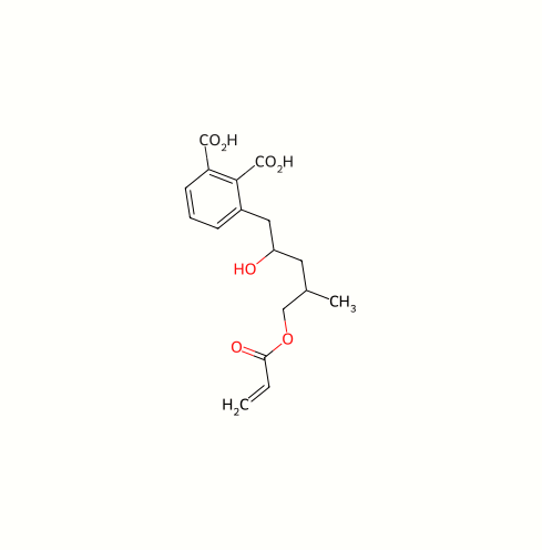 C=CC(=O)OCC(C)CC(O)Cc1cccc(C(=O)O)c1C(=O)O